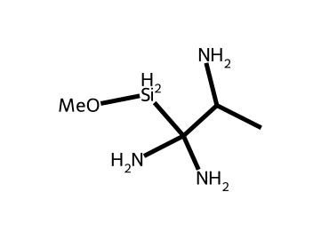 CO[SiH2]C(N)(N)C(C)N